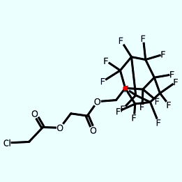 O=C(CCl)OCC(=O)OCC12C(F)(F)C3(F)C(F)(F)C(F)(C(F)(F)C(F)(C3(F)F)C1(F)F)C2(F)F